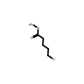 CCCOC(=O)CCCCCl